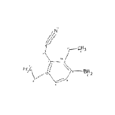 Bc1ccc(CC)c(CC#N)c1CC